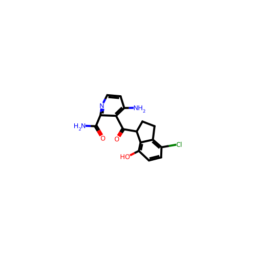 NC(=O)c1nccc(N)c1C(=O)C1CCc2c(Cl)ccc(O)c21